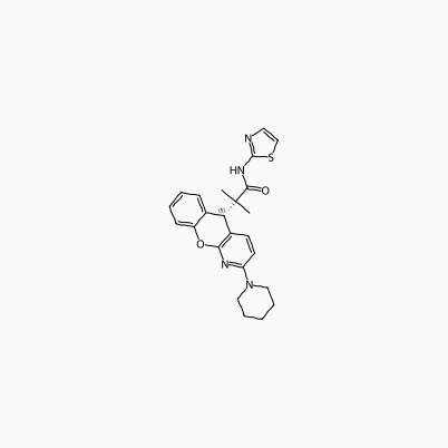 CC(C)(C(=O)Nc1nccs1)[C@H]1c2ccccc2Oc2nc(N3CCCCC3)ccc21